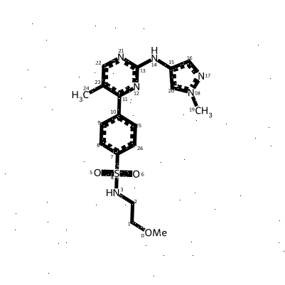 COCCNS(=O)(=O)c1ccc(-c2nc(Nc3cnn(C)c3)ncc2C)cc1